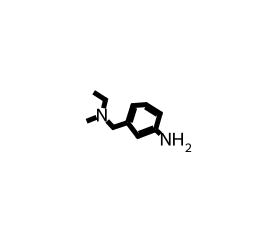 CCN(C)Cc1cccc(N)c1